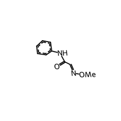 CON=CC(=O)Nc1ccccc1